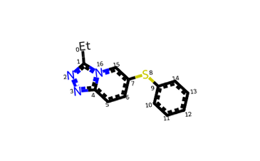 CCc1nnc2ccc(Sc3ccccc3)cn12